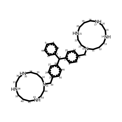 c1ccc(C(c2ccc(CN3CCCNCCNCCCNCC3)cc2)c2ccc(CN3CCCNCCNCCCNCC3)cc2)cc1